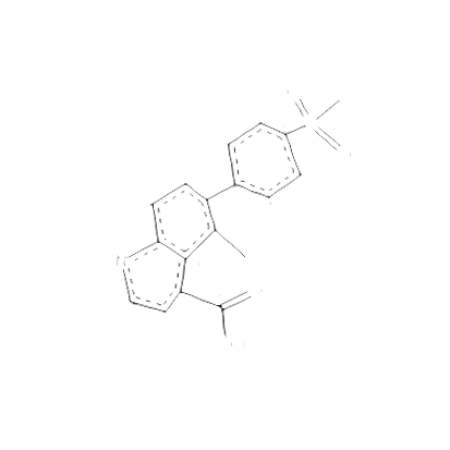 Cc1c(-c2ccc(S(C)(=O)=O)cc2)ccc2nccc(C(=O)O)c12